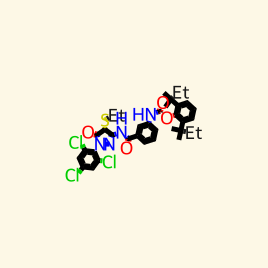 CCSC1C(=O)N(c2c(Cl)cc(Cl)cc2Cl)N=C1NC(=O)c1cccc(NC(=O)Oc2c(C(C)(C)CC)cccc2C(C)(C)CC)c1